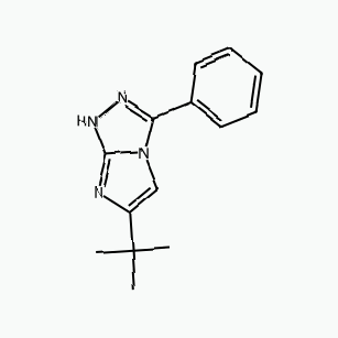 CC(C)(C)c1cn2c(-c3ccccc3)n[nH]c2n1